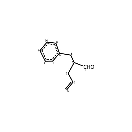 C=CCC(C=O)Cc1ccccc1